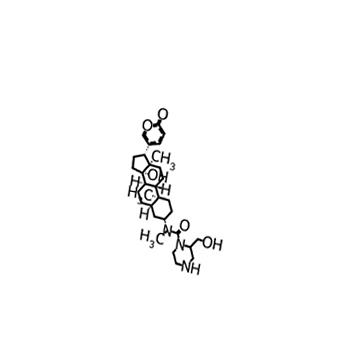 CN(C(=O)N1CCNCC1CO)[C@H]1CC[C@@]2(C)[C@H](CC[C@@H]3[C@@H]2CC[C@]2(C)[C@@H](c4ccc(=O)oc4)CC[C@]32O)C1